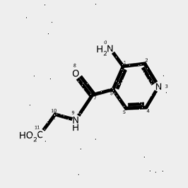 Nc1cnccc1C(=O)NCC(=O)O